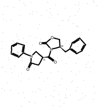 O=C1C[C@H](C(=O)N2C(=O)OC[C@H]2Cc2ccccc2)CN1c1ccccc1